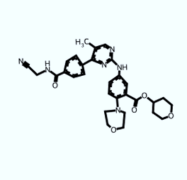 Cc1cnc(Nc2ccc(N3CCOCC3)c(C(=O)OC3CCOCC3)c2)nc1-c1ccc(C(=O)NCC#N)cc1